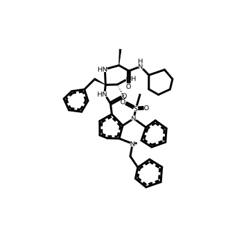 C[C@H](N[C@@](Cc1ccccc1)(NC(=O)c1cccc(N(C)Cc2ccccc2)c1N(c1ccccc1)S(C)(=O)=O)[C@@H](C)O)C(=O)NC1CCCCC1